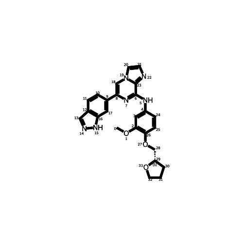 COc1cc(Nc2nc(-c3ccc4cn[nH]c4c3)cn3ccnc23)ccc1OC[C@@H]1CCCO1